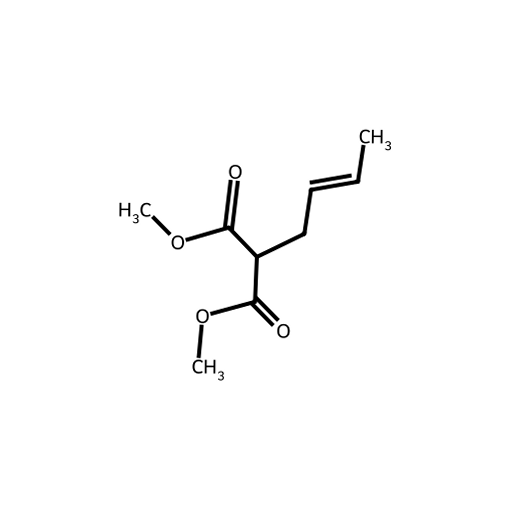 CC=CCC(C(=O)OC)C(=O)OC